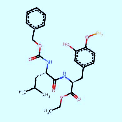 CCOC(=O)[C@H](Cc1ccc(OP)c(O)c1)NC(=O)[C@H](CC(C)C)NC(=O)OCc1ccccc1